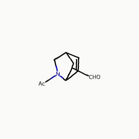 CC(=O)N1CC2C=CC1C(C=O)C2